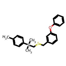 Cc1ccc([Si](C)(C)CSCc2cccc(Oc3ccccc3)c2)cc1